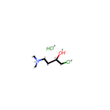 CN(C)CCC(O)CCl.Cl